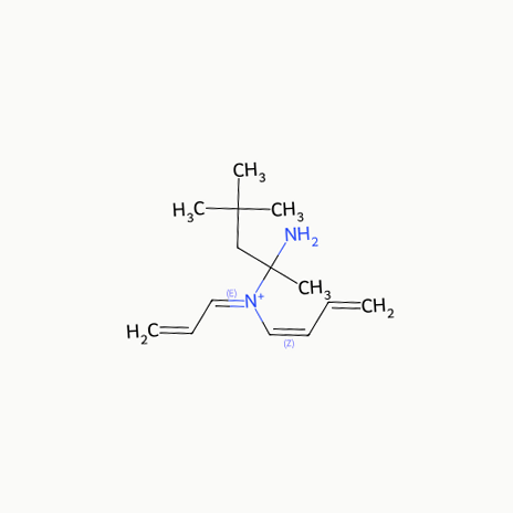 C=C/C=C\[N+](=C/C=C)C(C)(N)CC(C)(C)C